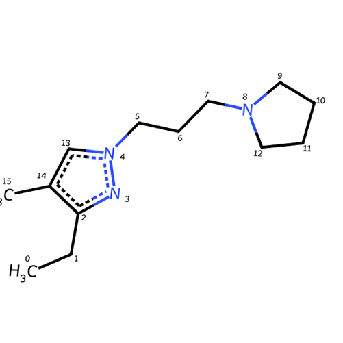 CCc1nn(CCCN2CCCC2)cc1C